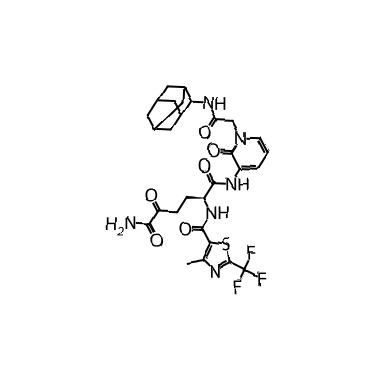 Cc1nc(C(F)(F)F)sc1C(=O)N[C@@H](CCC(=O)C(N)=O)C(=O)Nc1cccn(CC(=O)NC2C3CC4CC(C3)CC2C4)c1=O